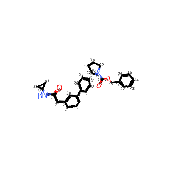 O=C(Cc1cccc(-c2ccc([C@@H]3CCCN3C(=O)OCc3ccccc3)cc2)c1)NC1CC1